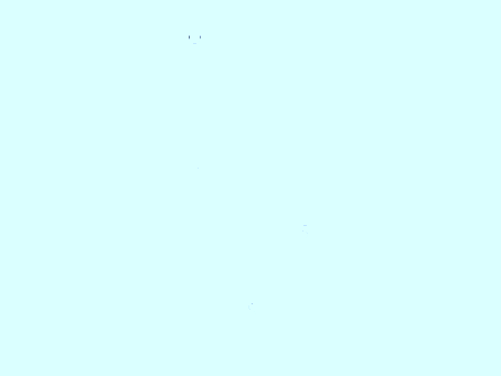 CSc1ccc(C[C]=O)cc1SC